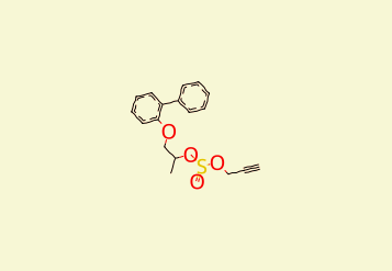 C#CCOS(=O)OC(C)COc1ccccc1-c1ccccc1